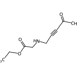 CCOC(=O)CNCC#CC(C)=O